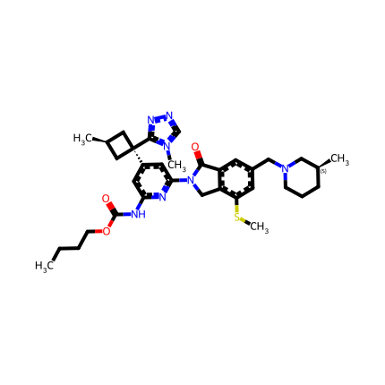 CCCCOC(=O)Nc1cc([C@]2(c3nncn3C)C[C@@H](C)C2)cc(N2Cc3c(SC)cc(CN4CCC[C@H](C)C4)cc3C2=O)n1